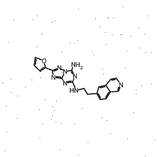 Nc1nc(NCCc2ccc3cnccc3c2)nc2nc(-c3ccco3)nn12